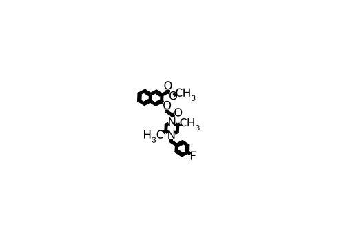 COC(=O)c1cc2ccccc2cc1OCC(=O)N1CC(C)N(Cc2ccc(F)cc2)CC1C